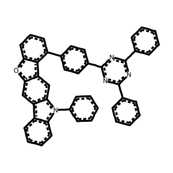 c1ccc(-c2nc(-c3ccccc3)nc(-c3ccc(-c4cccc5oc6cc7c8ccccc8n(-c8ccccc8)c7cc6c45)cc3)n2)cc1